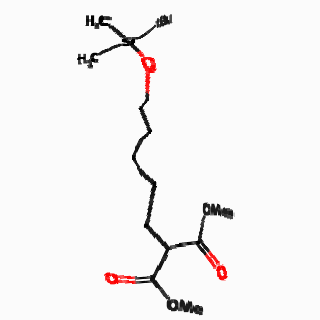 COC(=O)C(CCCCCO[Si](C)(C)C(C)(C)C)C(=O)OC